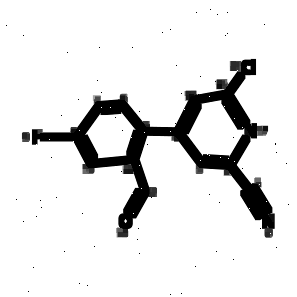 N#Cc1cc(-c2ccc(F)cc2C=O)cc(Cl)n1